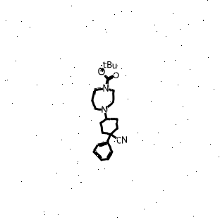 CC(C)(C)OC(=O)N1CCCN(C2CCC(C#N)(c3ccccc3)CC2)CC1